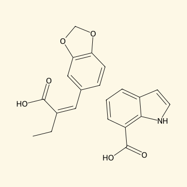 CCC(=Cc1ccc2c(c1)OCO2)C(=O)O.O=C(O)c1cccc2cc[nH]c12